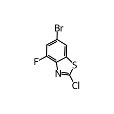 Fc1cc(Br)cc2sc(Cl)nc12